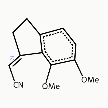 COc1ccc2c(c1OC)/C(=C\C#N)CC2